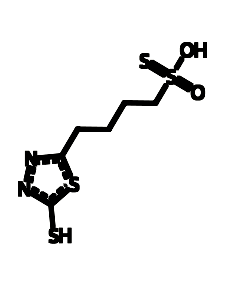 O=S(O)(=S)CCCCc1nnc(S)s1